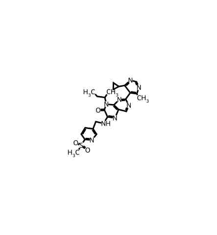 CCC(C)n1c(=O)c(NCc2ccc(S(C)(=O)=O)nc2)nc2cnc(-c3c(C)ncnc3C3CC3)nc21